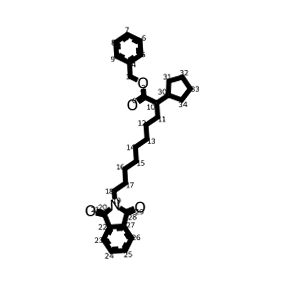 O=C(OCc1ccccc1)C(CCCCCCCCN1C(=O)c2ccccc2C1=O)C1CCCC1